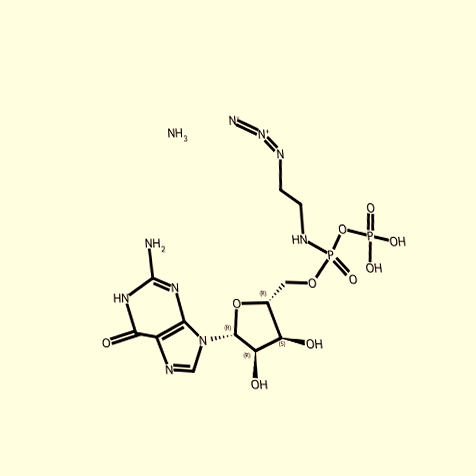 N.[N-]=[N+]=NCCNP(=O)(OC[C@H]1O[C@@H](n2cnc3c(=O)[nH]c(N)nc32)[C@H](O)[C@@H]1O)OP(=O)(O)O